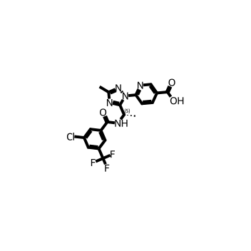 Cc1nc([C@H](C)NC(=O)c2cc(Cl)cc(C(F)(F)F)c2)n(-c2ccc(C(=O)O)cn2)n1